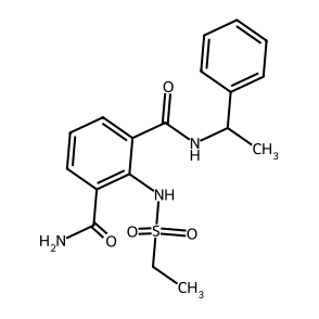 CCS(=O)(=O)Nc1c(C(N)=O)cccc1C(=O)NC(C)c1ccccc1